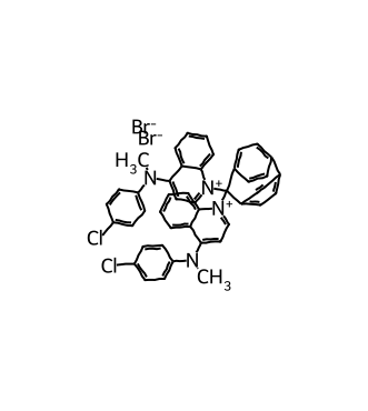 CN(c1ccc(Cl)cc1)c1cc[n+](C2([n+]3ccc(N(C)c4ccc(Cl)cc4)c4ccccc43)c3ccc(cc3)-c3ccc2cc3)c2ccccc12.[Br-].[Br-]